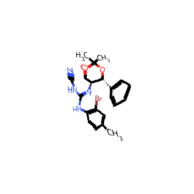 Cc1ccc(NC(=N[C@H]2COC(C)(C)O[C@@H]2c2ccccc2)NC#N)c(Br)c1